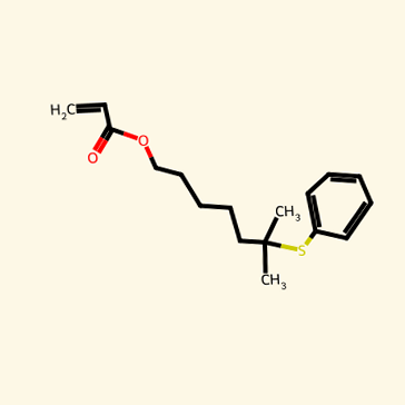 C=CC(=O)OCCCCCC(C)(C)Sc1ccccc1